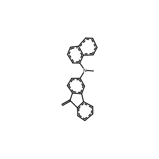 C=C1c2ccccc2-c2cc(N(C)c3cccc4ccccc34)ccc21